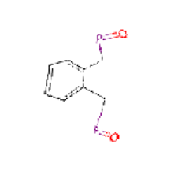 O=PCc1ccccc1CP=O